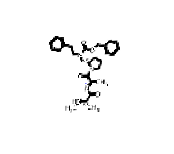 CN[C@@H](C)C(=O)/N=C(\C)C(=O)N1CCC[C@H]1CN(CCc1ccccc1)C(=O)OCc1ccccc1